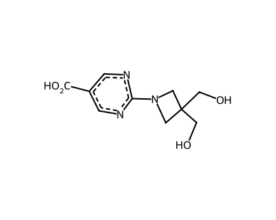 O=C(O)c1cnc(N2CC(CO)(CO)C2)nc1